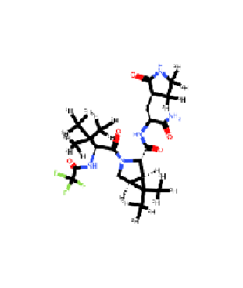 [2H]C([2H])([2H])C1(C([2H])([2H])[2H])[C@@H]2[C@@H](C(=O)N[C@@H](C[C@H]3C(=O)NC([2H])([2H])C3([2H])[2H])C(N)=O)N(C(=O)[C@@H](NC(=O)C(F)(F)F)C(C([2H])([2H])[2H])(C([2H])([2H])[2H])C([2H])([2H])[2H])C[C@@H]21